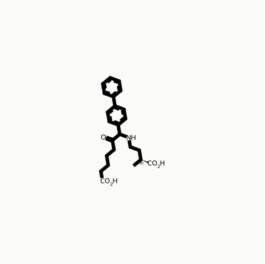 C[C@H](CCNC(C(=O)CCCCC(=O)O)c1ccc(-c2ccccc2)cc1)C(=O)O